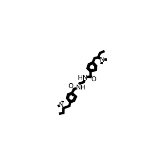 CCC(Cc1ccc(C(=O)NCCNC(=O)c2ccc(CC(CC)N(C)C)cc2)cc1)N(C)C